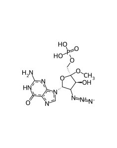 CO[C@]1(COP(=O)(O)O)O[C@@H](n2cnc3c(=O)[nH]c(N)nc32)C(N=[N+]=[N-])[C@@H]1O